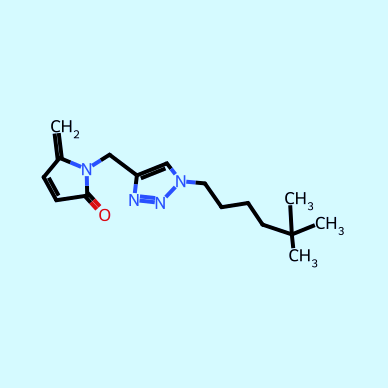 C=C1C=CC(=O)N1Cc1cn(CCCCC(C)(C)C)nn1